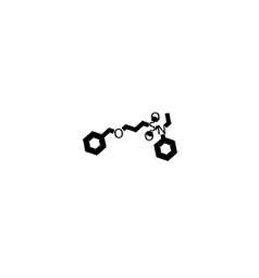 CCN(c1ccccc1)S(=O)(=O)CCCOCc1ccccc1